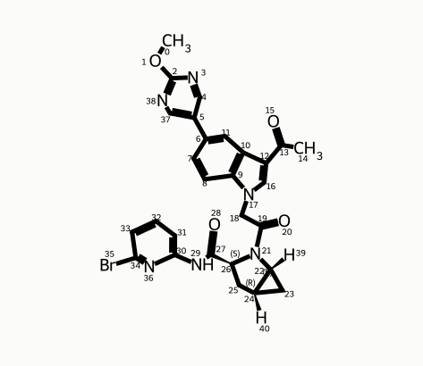 COc1ncc(-c2ccc3c(c2)c(C(C)=O)cn3CC(=O)N2[C@@H]3C[C@@H]3C[C@H]2C(=O)Nc2cccc(Br)n2)cn1